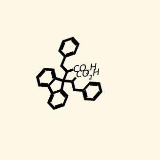 O=C(O)C(Cc1ccccc1)C1(C(Cc2ccccc2)C(=O)O)c2ccccc2-c2ccccc21